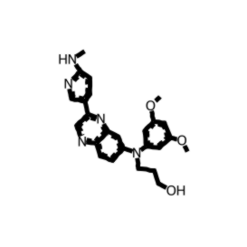 CNc1ccc(-c2cnc3ccc(N(CCCO)c4cc(OC)cc(OC)c4)cc3n2)cn1